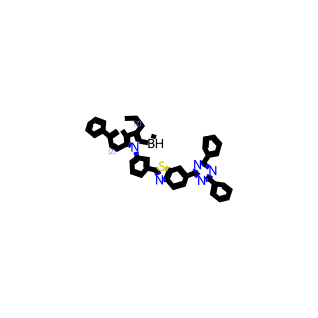 C=C(/C=C\c1c(C)c(/C=C\C)c(BC)n1-c1cccc(-c2nc3ccc(-c4nc(-c5ccccc5)nc(-c5ccccc5)n4)cc3s2)c1)c1ccccc1